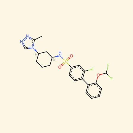 Cc1nncn1[C@@H]1CCC[C@H](NS(=O)(=O)c2ccc(-c3ccccc3OC(F)F)c(F)c2)C1